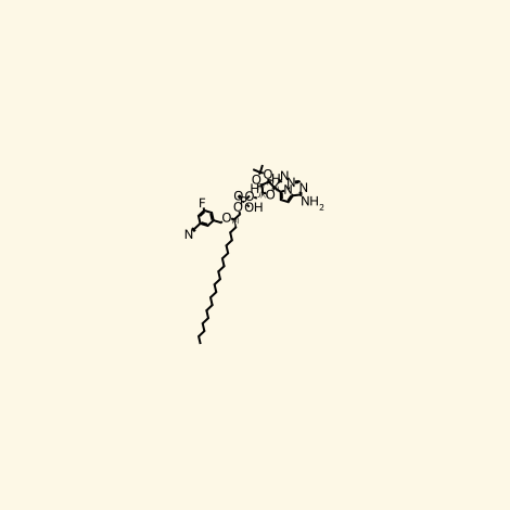 CCCCCCCCCCCCCCCCCCC[C@H](COP(=O)(O)OC[C@H]1O[C@@](C#N)(c2ccc3c(N)ncnn23)[C@@H]2OC(C)(C)O[C@@H]21)OCc1cc(F)cc(C#N)c1